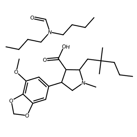 CCCC(C)(C)CC1C(C(=O)O)C(c2cc(OC)c3c(c2)OCO3)CN1C.CCCCN(C=O)CCCC